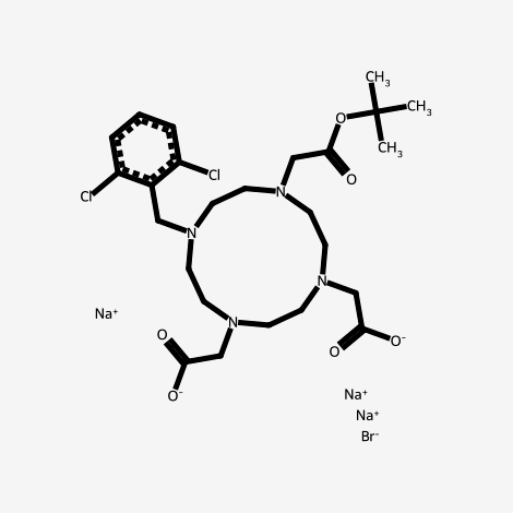 CC(C)(C)OC(=O)CN1CCN(CC(=O)[O-])CCN(CC(=O)[O-])CCN(Cc2c(Cl)cccc2Cl)CC1.[Br-].[Na+].[Na+].[Na+]